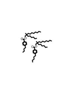 CCCCCCCCC(C)(CCCCCC)COC(=O)c1ccc(CCCC)cc1.CCCCCCCCC(C)(CCCCCC)COC(=O)c1ccc(CCCCC)cc1